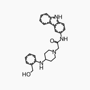 O=C(CN1CCC(Nc2ccccc2CO)CC1)Nc1ccc2[nH]c3ccccc3c2c1